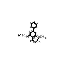 CON=C1CC(c2ccccc2)CC2=C1C=NCN2C